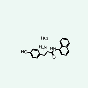 Cl.N[C@@H](Cc1ccc(O)cc1)C(=O)Nc1cccc2ccccc12